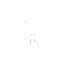 COc1ccc(OCCCCCCOC(=O)c2c[nH]c3nc(C)ccc3c2=O)c(Cl)c1